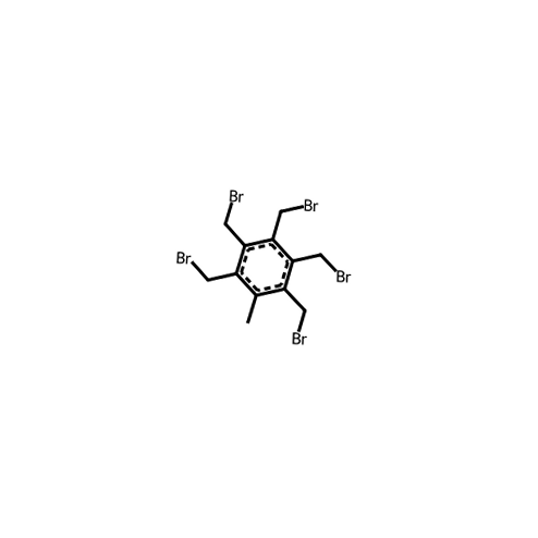 Cc1c(CBr)c(CBr)c(CBr)c(CBr)c1CBr